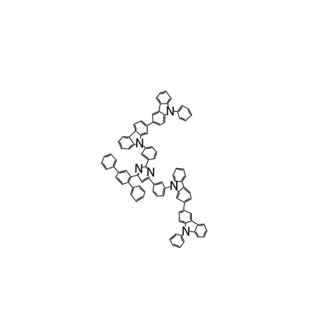 c1ccc(-c2ccc(-c3ccccc3)c(-c3cc(-c4cccc(-n5c6ccccc6c6ccc(-c7ccc8c(c7)c7ccccc7n8-c7ccccc7)cc65)c4)nc(-c4cccc(-n5c6ccccc6c6ccc(-c7ccc8c(c7)c7ccccc7n8-c7ccccc7)cc65)c4)n3)c2)cc1